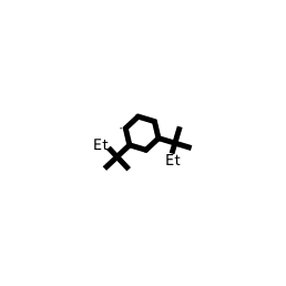 CCC(C)(C)C1[CH]CCC(C(C)(C)CC)C1